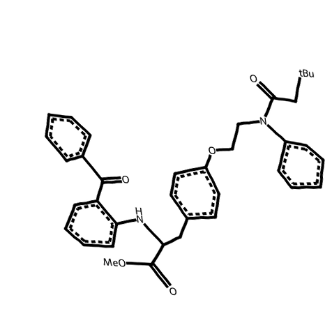 COC(=O)C(Cc1ccc(OCCN(C(=O)CC(C)(C)C)c2ccccc2)cc1)Nc1ccccc1C(=O)c1ccccc1